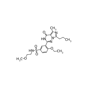 CCCc1nc(C)c2c(=O)[nH]c(-c3cc(S(=O)(=O)NCCOC)ccc3OCC)nn12